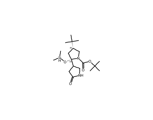 C[SiH](C)O[C@]1(C2CNC(=O)C2)C[C@H](C(C)(C)C)CN1C(=O)OC(C)(C)C